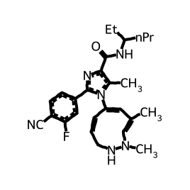 CCCC(CC)NC(=O)c1nc(-c2ccc(C#N)c(F)c2)n(C2=C/C(C)=C/N(C)NC/C=C\2)c1C